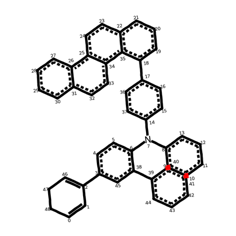 C1=CC(c2ccc(N(c3ccccc3)c3ccc(-c4cccc5ccc6c7ccccc7ccc6c45)cc3)c(-c3ccccc3)c2)=CCC1